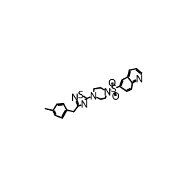 Cc1ccc(Cc2nsc(N3CCN(S(=O)(=O)c4ccc5ncccc5c4)CC3)n2)cc1